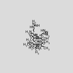 CC[C@H](C)[C@H](NC(=O)[C@H](CCCNC(=N)N)NC(=O)[C@@H](NC(=O)[C@@H](NC(=O)[C@@H](NC(=O)CNC(C)=O)C(C)C)[C@@H](C)CC)[C@@H](C)O)C(=O)N[C@@H](CCCNC(=N)N)C(N)=O